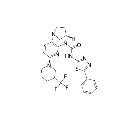 O=C(Nc1nnc(-c2ccccc2)s1)N1c2nc(N3CCCC(C(F)(F)F)C3)ccc2N2CC[C@H]1C2